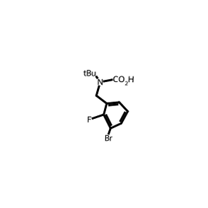 CC(C)(C)N(Cc1cccc(Br)c1F)C(=O)O